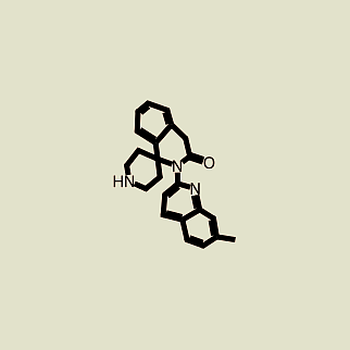 Cc1ccc2ccc(N3C(=O)Cc4ccccc4C34CCNCC4)nc2c1